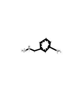 NNCc1cccc([SiH3])c1